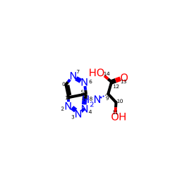 C1=C2N=NN=C2N=N1.N[C@@H](CO)C(=O)O